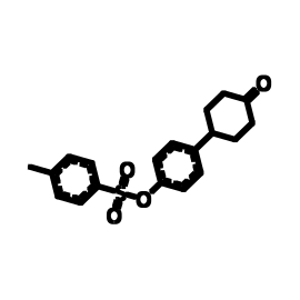 Cc1ccc(S(=O)(=O)Oc2ccc(C3CCC(=O)CC3)cc2)cc1